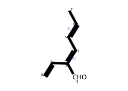 C=C/C(C=O)=C\C=C\C